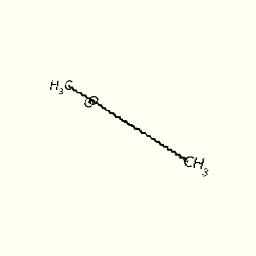 CCCCCCCCCCCCCCCCCCCCCCCCCCCCCCCCCCCCCCCCOC(=O)CCCCCCCCCCC